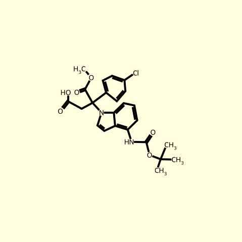 COC(=O)C(CC(=O)O)(c1ccc(Cl)cc1)n1ccc2c(NC(=O)OC(C)(C)C)cccc21